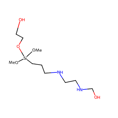 CO[Si](CCCNCCNCO)(OC)OCCO